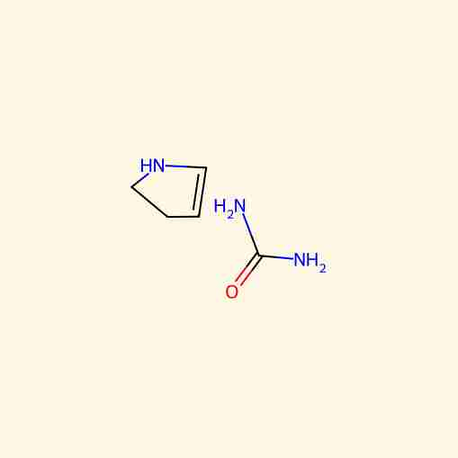 C1=CNCC1.NC(N)=O